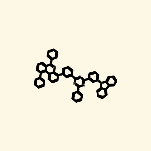 c1ccc(-c2nc(-c3cccc(-c4cccc5c4nc(-c4ccccc4)c4cccc(-c6ccccc6)c45)c3)nc(-c3cccc(-n4c5ccccc5c5ccccc54)c3)n2)cc1